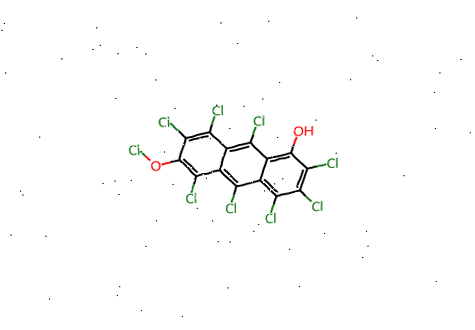 Oc1c(Cl)c(Cl)c(Cl)c2c(Cl)c3c(Cl)c(OCl)c(Cl)c(Cl)c3c(Cl)c12